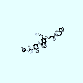 COc1cc2c(Oc3ccc(NC(=O)Nc4ccsc4)c(Cl)c3)ncnc2cc1OCCC(=O)N1CCC2(CC1)COC2